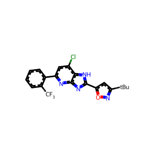 CC(C)(C)c1cc(-c2nc3nc(-c4ccccc4C(F)(F)F)cc(Cl)c3[nH]2)on1